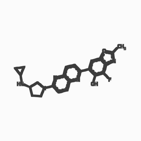 Cc1nc2c(F)c(O)c(-c3ccc4nc(N5CC[C@@H](NC6CC6)C5)ccc4n3)cc2o1